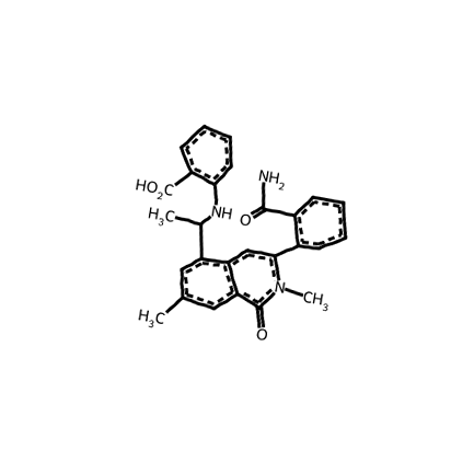 Cc1cc(C(C)Nc2ccccc2C(=O)O)c2cc(-c3ccccc3C(N)=O)n(C)c(=O)c2c1